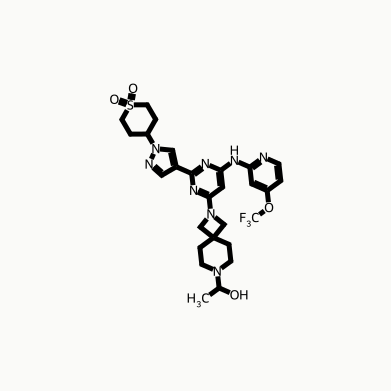 CC(O)N1CCC2(CC1)CN(c1cc(Nc3cc(OC(F)(F)F)ccn3)nc(-c3cnn(C4CCS(=O)(=O)CC4)c3)n1)C2